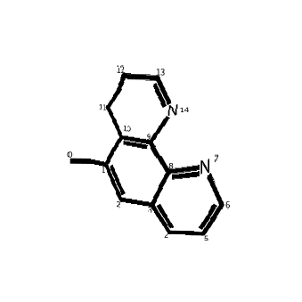 Cc1cc2cccnc2c2c1CCC=N2